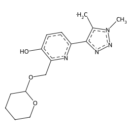 [CH2]c1c(-c2ccc(O)c(COC3CCCCO3)n2)nnn1C